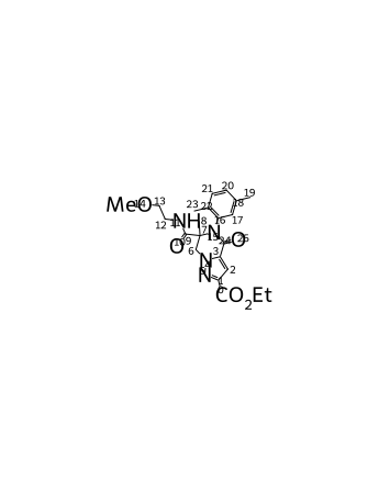 CCOC(=O)c1cc2n(n1)CC(C)(C(=O)NCCOC)N(c1cc(C)ccc1C)C2=O